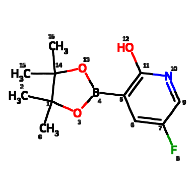 CC1(C)OB(c2cc(F)cnc2O)OC1(C)C